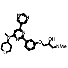 CNCC(O)COc1cccc(-c2nc(-c3cncnc3)cc(N(C)C3CCOCC3)n2)c1